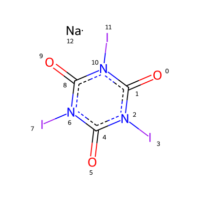 O=c1n(I)c(=O)n(I)c(=O)n1I.[Na]